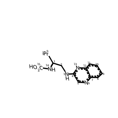 CC(C)C(CNc1cnc2ccccc2n1)NC(=O)O